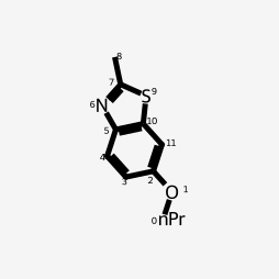 CCCOc1ccc2nc(C)sc2c1